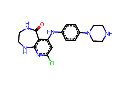 O=C1NCCNc2nc(Cl)cc(Nc3ccc(N4CCNCC4)cc3)c21